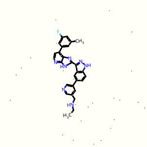 CCNCc1cncc(-c2ccc3[nH]nc(-c4nc5c(-c6cc(C)cc(F)c6)ccnc5[nH]4)c3c2)c1